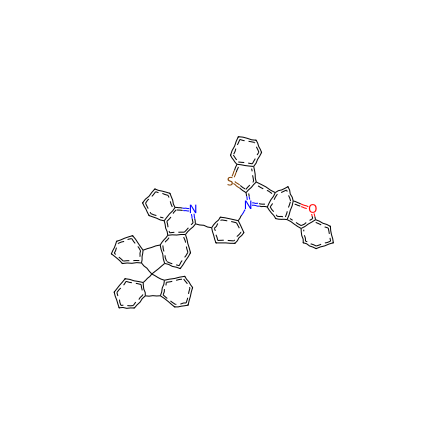 c1cc(-c2nc3ccccc3c3c4c(ccc23)C2(c3ccccc3-c3ccccc32)c2ccccc2-4)cc(-n2c3cc4c(cc3c3c5ccccc5sc32)oc2ccccc24)c1